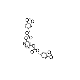 O=C(OCc1ccc2c(c1)OCO2)Oc1cc(OC(=O)OCc2ccc3c(c2)OCO3)ncn1